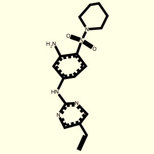 C=Cc1cnc(Nc2ccc(S(=O)(=O)N3CCCCC3)c(N)c2)nc1